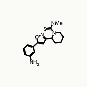 CNC(=S)N1CCCCC1c1cc(-c2cccc(N)c2)on1